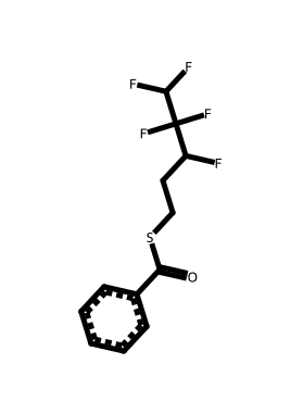 O=C(SCCC(F)C(F)(F)C(F)F)c1ccccc1